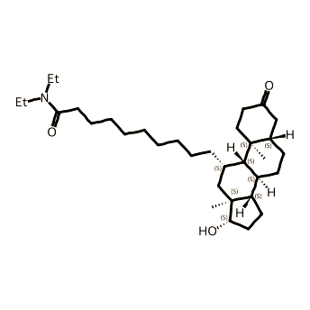 CCN(CC)C(=O)CCCCCCCCC[C@H]1C[C@]2(C)[C@@H](O)CC[C@H]2[C@@H]2CC[C@H]3CC(=O)CC[C@]3(C)[C@@H]12